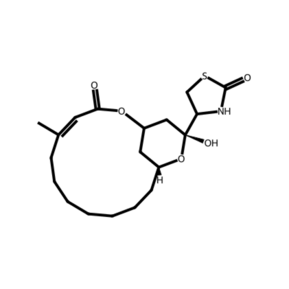 CC1=CC(=O)OC2C[C@@H](CCCCCCC1)O[C@@](O)(C1CSC(=O)N1)C2